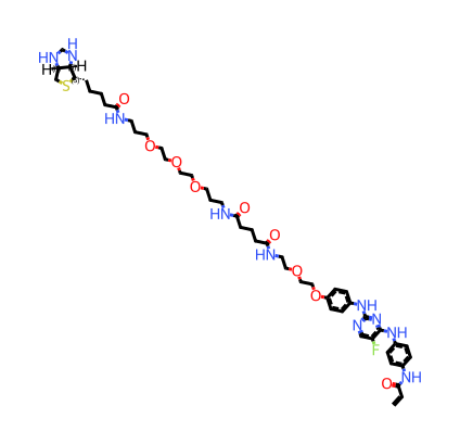 C=CC(=O)Nc1ccc(Nc2nc(Nc3ccc(OCCOCCNC(=O)CCCC(=O)NCCCOCCOCCOCCCNC(=O)CCCC[C@@H]4SC[C@@H]5NCN[C@@H]54)cc3)ncc2F)cc1